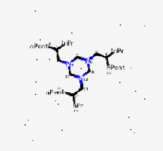 CCCCCC(CCC)CN1CN(CC(CCC)CCCCC)CN(CC(CCC)CCCCC)C1